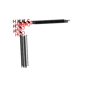 CC(=O)O.CC(=O)O.CC(=O)O.CC(=O)O.CC(=O)O.[Na+].[Na+].[Na+].[Na+].[Na+].[Na+].[Na+].[Na+].[Na+].[Na+].[Na+].[Na+].[Na+].[Na+].[Na+].[Na+].[Na+].[Na+].[Na+].[Na+].[Na+].[Na+].[Na+].[Na+].[Na+].[Na+].[Na+].[Na+].[Na+].[Na+].[Na+].[Na+].[Na+].[Na+].[Na+].[Na+].[Na+].[Na+].[Na+].[Na+].[Na+].[Na+].[Na+].[Na+].[Na+].[Na+].[Na+]